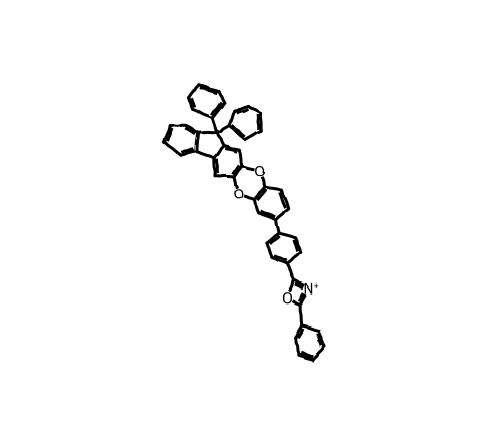 c1ccc(C2=[N+]=C(c3ccc(-c4ccc5c(c4)Oc4cc6c(cc4O5)C(c4ccccc4)(c4ccccc4)c4ccccc4-6)cc3)O2)cc1